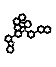 C1=CCC(c2ccccc2-c2ccccc2)(N(c2ccc(-c3cccc4c3oc3ccccc34)cc2)c2cccc(-c3ccc4ccccc4c3)c2)C(c2ccccc2)=C1